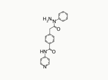 NN(C(=O)Cc1ccc(C(=O)Nc2ccncc2)cc1)c1ccccc1